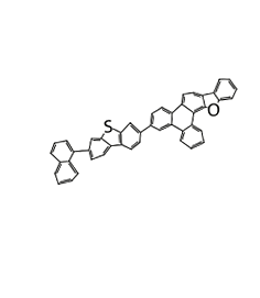 c1ccc2c(-c3ccc4c(c3)sc3cc(-c5ccc6c(c5)c5ccccc5c5c6ccc6c7ccccc7oc65)ccc34)cccc2c1